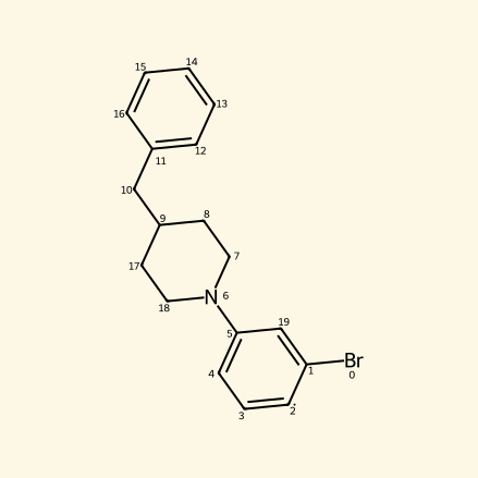 Brc1[c]ccc(N2CCC(Cc3ccccc3)CC2)c1